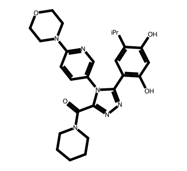 CC(C)c1cc(-c2nnc(C(=O)N3CCCCC3)n2-c2ccc(N3CCOCC3)nc2)c(O)cc1O